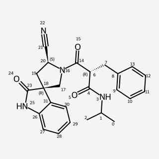 CC(C)NC(=O)[C@@H](Cc1ccccc1)C(=O)N1C[C@]2(C[C@H]1C#N)C(=O)Nc1ccccc12